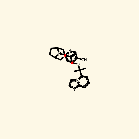 CC(C)(OCC(=O)N1CC2CCC(C1)N2c1ccc(C#N)cn1)c1cccc2nccn12